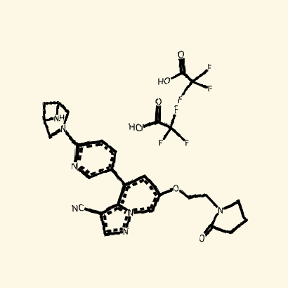 N#Cc1cnn2cc(OCCN3CCCC3=O)cc(-c3ccc(N4CC5CC(C4)N5)nc3)c12.O=C(O)C(F)(F)F.O=C(O)C(F)(F)F